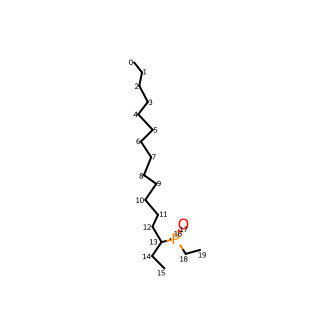 CCCCCCCCCCCCCC(CC)[P](=O)CC